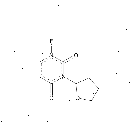 O=c1ccn(F)c(=O)n1C1CCCO1